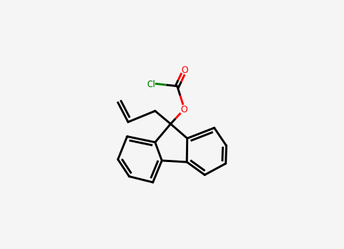 C=CCC1(OC(=O)Cl)c2ccccc2-c2ccccc21